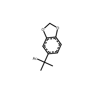 CC(=O)C(C)(C)c1ccc2c(c1)OCO2